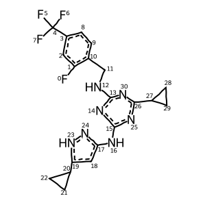 Fc1cc(C(F)(F)F)ccc1CNc1nc(Nc2cc(C3CC3)[nH]n2)nc(C2CC2)n1